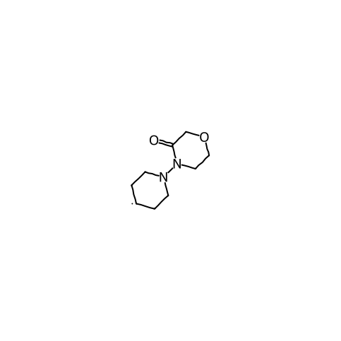 O=C1COCCN1N1CC[CH]CC1